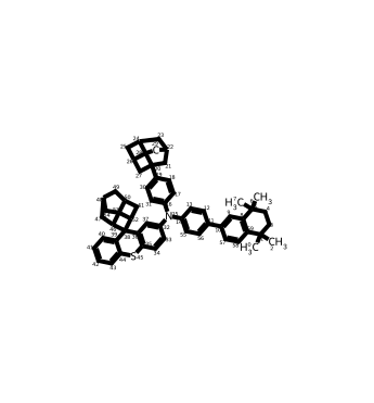 CC1(C)CCC(C)(C)c2cc(-c3ccc(N(c4ccc(C56CC7CC8CC(C5)C86C7)cc4)c4ccc5c(c4)C4(c6ccccc6S5)C5CC6CC7CC4C75C6)cc3)ccc21